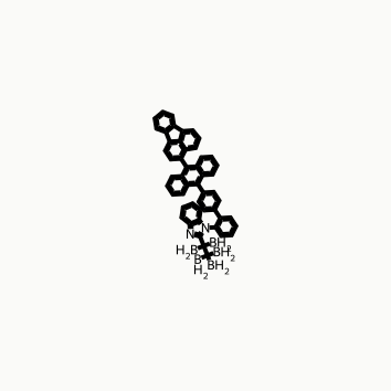 BC(B)(B)C(B)(B)c1nc2ccccc2n1-c1ccccc1-c1ccc(-c2c3ccccc3c(-c3ccc4c5c(cccc35)-c3ccccc3-4)c3ccccc23)cc1